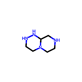 C1CN2CCNNC2CN1